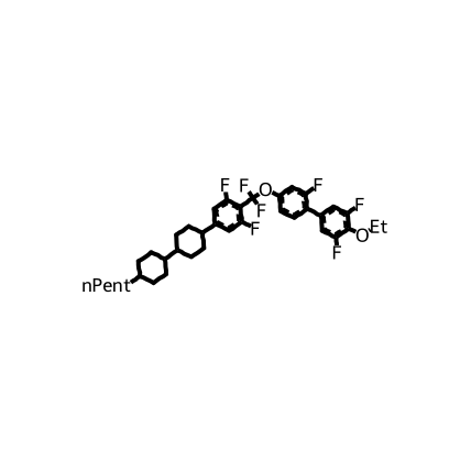 CCCCCC1CCC(C2CCC(c3cc(F)c(C(F)(F)Oc4ccc(-c5cc(F)c(OCC)c(F)c5)c(F)c4)c(F)c3)CC2)CC1